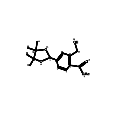 COC(=O)c1ccc(B2OC(C)(C)C(C)(C)O2)cc1CO